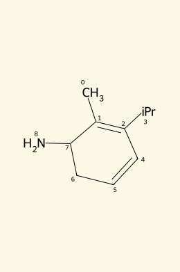 CC1=C(C(C)C)C=CCC1N